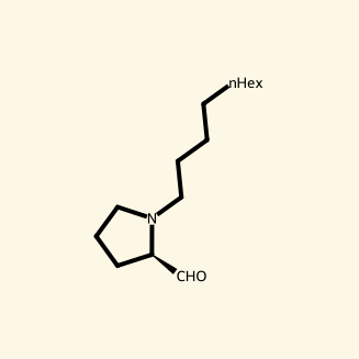 CCCCCCCCCCN1CCC[C@@H]1C=O